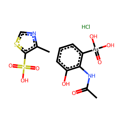 CC(=O)Nc1c(O)cccc1[As](=O)(O)O.Cc1ncsc1S(=O)(=O)O.Cl